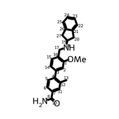 COc1cc(-c2ccc(C(N)=O)cc2C)ccc1CNC1Cc2ccccc2C1